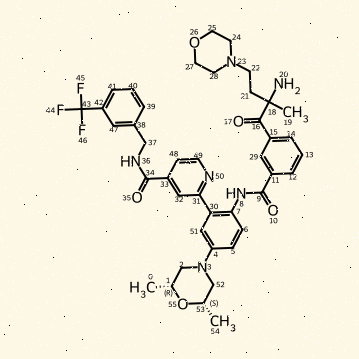 C[C@@H]1CN(c2ccc(NC(=O)c3cccc(C(=O)C(C)(N)CCN4CCOCC4)c3)c(-c3cc(C(=O)NCc4cccc(C(F)(F)F)c4)ccn3)c2)C[C@H](C)O1